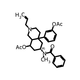 C=CCN1CCC2(c3cccc(OC(C)=O)c3)C[C@@H](N(C)C(=O)c3ccccc3)CC(OC(C)=O)C2C1